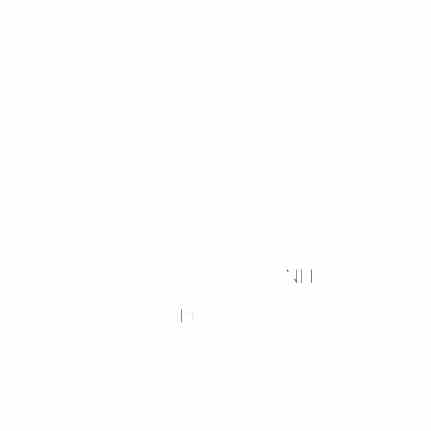 CC(C)C1(C)CNCCc2ccccc21